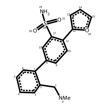 CNCc1ccccc1-c1ccc(-c2ccco2)c(S(N)(=O)=O)c1